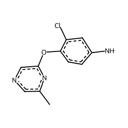 Cc1cncc(Oc2ccc([NH])cc2Cl)n1